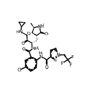 C[C@@H]1C[C@@H](C[C@H](NC(=O)c2cc(Cl)ccc2NC(=O)c2ccn(CC(F)(F)F)n2)C(=O)C(=O)NC2CC2)C(=O)N1